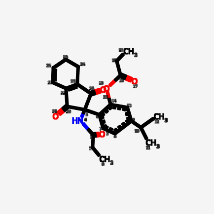 CCC(=O)NC1(c2ccc(C(C)C)cc2OC(=O)CC)C(=O)C2=C(CCC=C2)C1=O